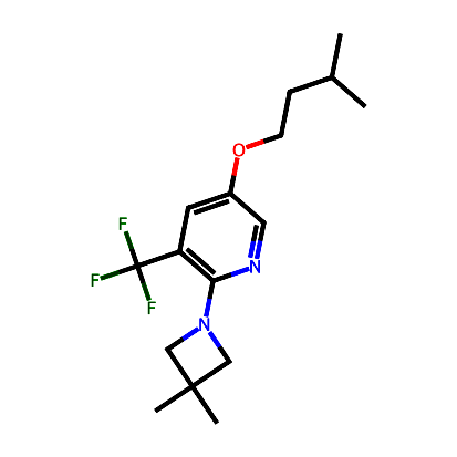 CC(C)CCOc1cnc(N2CC(C)(C)C2)c(C(F)(F)F)c1